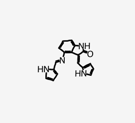 O=C1Nc2cccc(N=Cc3ccc[nH]3)c2C1=Cc1ccc[nH]1